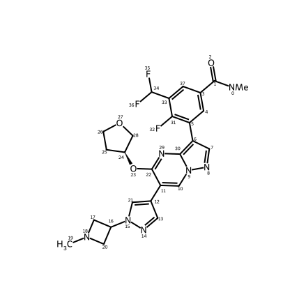 CNC(=O)c1cc(-c2cnn3cc(-c4cnn(C5CN(C)C5)c4)c(O[C@H]4CCOC4)nc23)c(F)c(C(F)F)c1